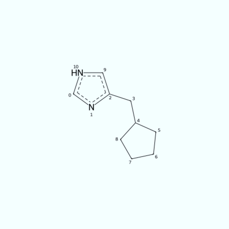 c1nc(CC2CCCC2)c[nH]1